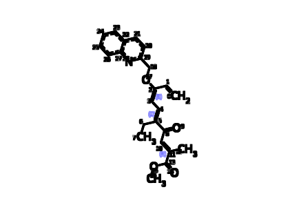 C=C/C(=C\C=C(/CC)C(=O)/C=C(\C)C(=O)OC)OCc1ccc2ccccc2n1